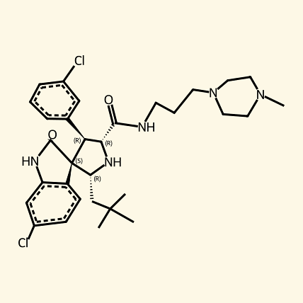 CN1CCN(CCCNC(=O)[C@@H]2N[C@H](CC(C)(C)C)[C@]3(C(=O)Nc4cc(Cl)ccc43)[C@H]2c2cccc(Cl)c2)CC1